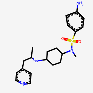 CC(Cc1ccncc1)NC1CCC(N(C)S(=O)(=O)c2ccc(N)cc2)CC1